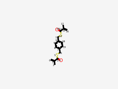 C=C(C)C(=O)SCc1ccc(CSC(=O)C(=C)C)cc1